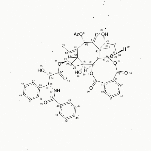 CC(=O)O[C@@H]1C(=O)[C@]2(C)C3[C@@H](OC(=O)c4ccccc4C(=O)O[C@@]34CO[C@H]4C[C@H]2O)[C@@]2(O)C[C@@H](OC(=O)[C@@H](O)[C@H](NC(=O)c3ccccc3)c3ccccc3)C(C)=C1C2(C)C